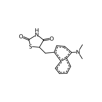 CN(C)c1ccc(CC2SC(=O)NC2=O)c2ccccc12